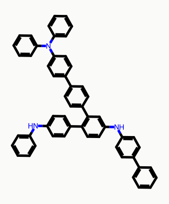 c1ccc(Nc2ccc(-c3ccc(Nc4ccc(-c5ccccc5)cc4)cc3-c3ccc(-c4ccc(N(c5ccccc5)c5ccccc5)cc4)cc3)cc2)cc1